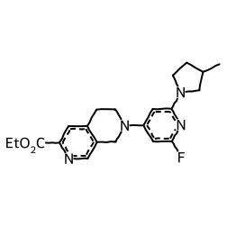 CCOC(=O)c1cc2c(cn1)CN(c1cc(F)nc(N3CCC(C)C3)c1)CC2